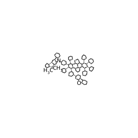 CC1(C)c2ccccc2-c2cc3c4ccccc4n(-c4ccc(-c5c(-c6ccccc6)c(-c6cccc(-c7ccc8c(c7)oc7ccccc78)c6)c6c7cccc8c9c(-c%10ccccc%10)c(-c%10ccccc%10)c(-c%10ccccc%10)c(-c%10ccccc%10)c9c9cccc(c6c5-c5ccccc5)c9c87)cc4)c3cc21